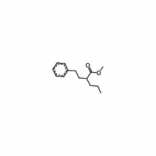 CCCC(CCc1ccccc1)C(=O)OC